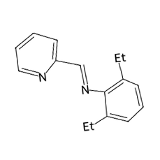 CCc1cccc(CC)c1N=Cc1ccccn1